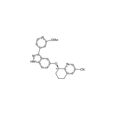 COc1cc(-c2n[nH]c3ccc(O[C@@H]4CCCc5cc(C#N)cnc54)cc23)ccn1